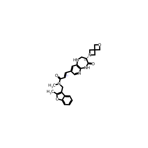 Cc1oc2ccccc2c1CN(C)C(=O)/C=C/c1cnc2c(c1)NC[C@H](N1CC3(COC3)C1)C(=O)N2